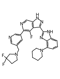 Fc1c(-c2cncc(CN3CCC(F)(F)C3)c2)ncc2[nH]nc(-c3nc4c(N5CCCCC5)cccc4[nH]3)c12